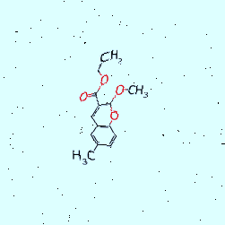 CCOC(=O)C1=Cc2cc(C)ccc2OC1OC